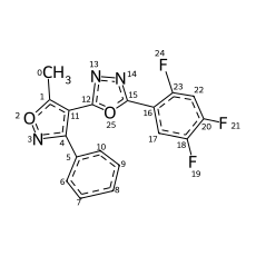 Cc1onc(-c2ccccc2)c1-c1nnc(-c2cc(F)c(F)cc2F)o1